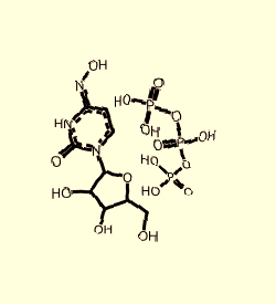 O=P(O)(O)OP(=O)(O)OP(=O)(O)O.O=c1[nH]c(=NO)ccn1C1OC(CO)C(O)C1O